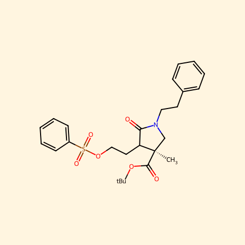 CC(C)(C)OC(=O)[C@]1(C)CN(CCc2ccccc2)C(=O)C1CCOS(=O)(=O)c1ccccc1